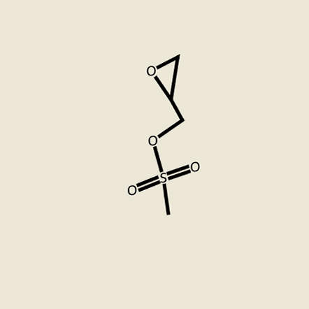 CS(=O)(=O)OCC1CO1